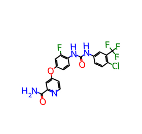 NC(=O)c1cc(Oc2ccc(NC(=O)Nc3ccc(Cl)c(C(F)(F)F)c3)c(F)c2)ccn1